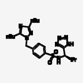 CCCCc1nc(CCCC)n(Cc2ccc(S(=O)(=O)N[C@@H](c3nnn[nH]3)C(C)C)cc2)n1